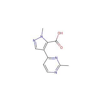 Cc1nccc(-c2cnn(C)c2C(=O)O)n1